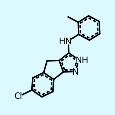 Cc1ccccc1Nc1[nH]nc2c1Cc1cc(Cl)ccc1-2